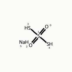 O=S(=O)(S)S.[NaH]